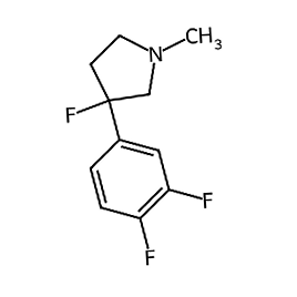 CN1CCC(F)(c2ccc(F)c(F)c2)C1